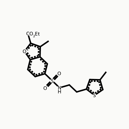 CCOC(=O)c1oc2ccc(S(=O)(=O)NCCc3cc(C)cs3)cc2c1C